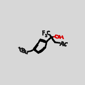 CC(=O)CC(O)(c1ccc(C(C)(C)C)cc1)C(F)(F)F